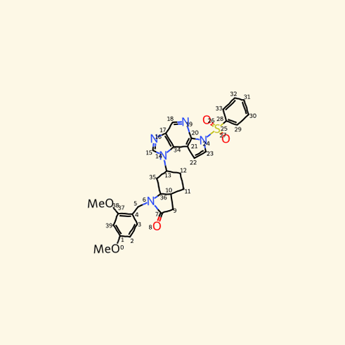 COc1ccc(CN2C(=O)CC3CCC(n4cnc5cnc6c(ccn6S(=O)(=O)c6ccccc6)c54)CC32)c(OC)c1